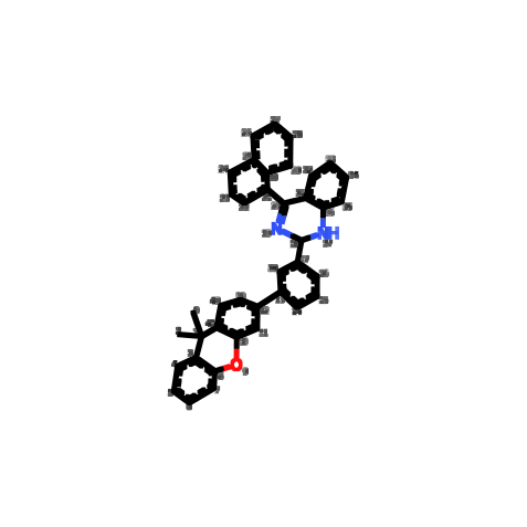 CC1(C)c2ccccc2Oc2cc(-c3cccc(C4N=C(c5cccc6ccccc56)c5ccccc5N4)c3)ccc21